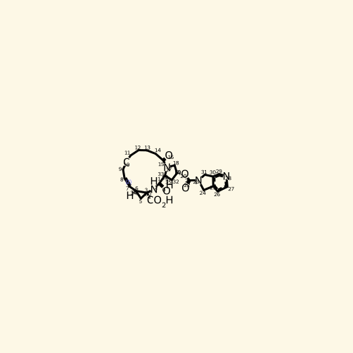 O=C1N[C@]2(C(=O)O)C[C@H]2/C=C\CCCCCCC(=O)N2C[C@H](OC(=O)N3Cc4ccncc4C3)C[C@@H]12